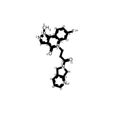 Cn1ncc2c(=O)n(CCC(=O)N3Cc4cccnc4C3)c3cc(F)ccc3c21